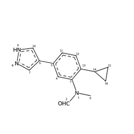 CN(C=O)c1cc(-c2cn[nH]c2)ccc1C1CC1